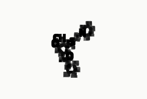 COc1cc(CSCCN2CCCCC2)c2oc(-c3ccccc3)cc2c1